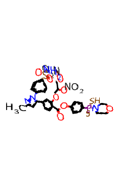 Cc1cc(-c2ccc(C(=O)Oc3ccc(P(=S)(S)N4CCOCC4)cc3)c(OCC(CO[N+](=O)[O-])O[N+](=O)[O-])c2)n(-c2ccc(S(N)(=O)=O)cc2)n1